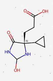 O=C(O)CC[C@@]1(C2CC2)NC(O)NC1=O